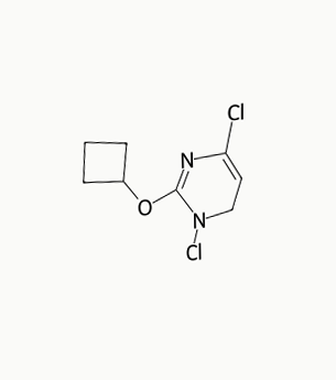 ClC1=CCN(Cl)C(OC2CCC2)=N1